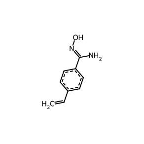 C=Cc1ccc(/C(N)=N/O)cc1